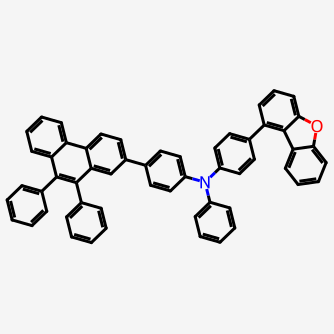 c1ccc(-c2c(-c3ccccc3)c3cc(-c4ccc(N(c5ccccc5)c5ccc(-c6cccc7oc8ccccc8c67)cc5)cc4)ccc3c3ccccc23)cc1